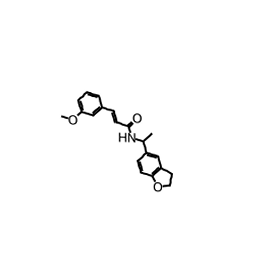 COc1cccc(C=CC(=O)NC(C)c2ccc3c(c2)CCO3)c1